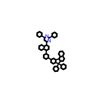 c1ccc(-c2cc(-c3ccc(-c4cccc(-c5ccc6c(c5)-c5c(ccc7ccccc57)C6(c5ccccc5)c5ccccc5)c4)c4ccccc34)nc(-c3ccccc3)n2)cc1